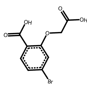 O=C(O)COc1cc(Br)ccc1C(=O)O